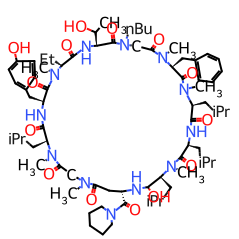 CCCCN1CC(=O)N(C)[C@@H](Cc2ccccc2)C(=O)N(C)[C@@H](CC(C)C)C(=O)N[C@@H](CC(C)C)C(=O)N(C)[C@@H](CC(C)C)C(O)N[C@H](C(=O)N2CCCCC2)CC(=O)N(C)CC(=O)N(C)[C@@H](CC(C)C)C(=O)N[C@@H](Cc2ccc(O)cc2)C(=O)N(C)[C@@H](CC)C(=O)N[C@@H](C(C)O)C1=O